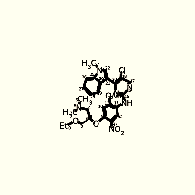 CCOC[C@@H](CN(C)C)Oc1cc(OC)c(Nc2ncc(Cl)c(-c3cn(C)c4ccccc34)n2)cc1[N+](=O)[O-]